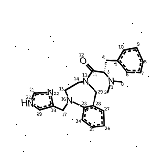 CN(C)[C@@H](Cc1ccccc1)C(=O)N1CCN(Cc2c[nH]cn2)c2ccccc2C1